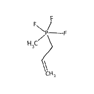 C=CCP(C)(F)(F)F